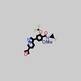 COc1cc(-c2cnn3cc(C4COC4)ccc23)cc(OC(F)F)c1C(=O)N[C@@H]1C[C@@H]1F